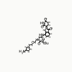 CC(C)(C)OC(=O)N(CCOCCN1CCC(N)C1)CC(=O)Nc1cccc2c1CN(C1CCC(=O)NC1=O)C2=O